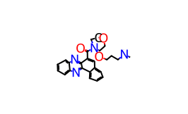 CN(C)CCCOc1c(C(=O)N2CCOCC2)c2nc3ccccc3nc2c2ccccc12